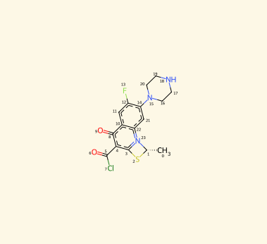 C[C@@H]1Sc2c(C(=O)Cl)c(=O)c3cc(F)c(N4CCNCC4)cc3n21